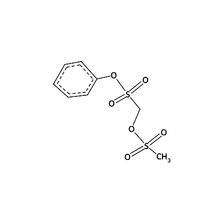 CS(=O)(=O)OCS(=O)(=O)Oc1ccccc1